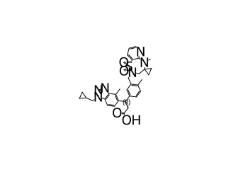 Cc1ccc([C@@H](CC(=O)O)c2ccc3c(nnn3CC3CC3)c2C)cc1CN1CC2(CC2)N(C)c2ncccc2S1(=O)=O